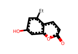 CCc1cc(O)cc2oc(=O)ccc12